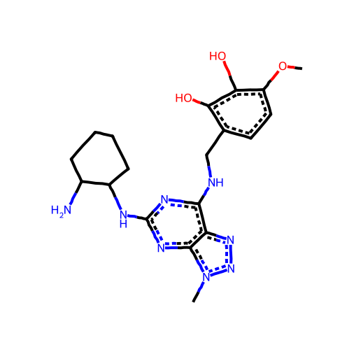 COc1ccc(CNc2nc(NC3CCCCC3N)nc3c2nnn3C)c(O)c1O